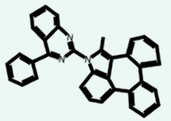 Cc1c2c3c(cccc3n1-c1nc(-c3ccccc3)c3ccccc3n1)-c1ccccc1-c1ccccc1-2